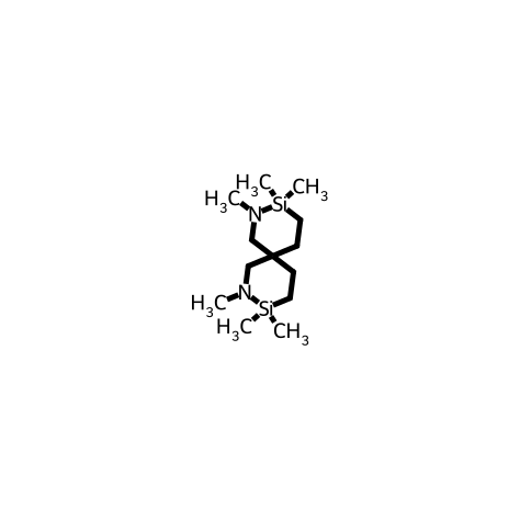 CN1CC2(CC[Si]1(C)C)CC[Si](C)(C)N(C)C2